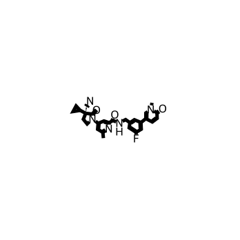 Cc1cc(N2CC[C@@](C#N)(C3CC3)C2=O)cc(C(=O)NCc2cc(F)cc(-c3ccc(=O)n(C)c3)c2)n1